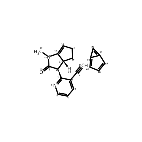 C#Cc1cccnc1[C@H]1C(=O)N(C)C2=CCC[C@@H]21.c1cc2cc-2c1